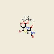 CC(C)(C)OC(=O)C1=C(CBr)[C@H](Br)S[C@H]2[C@H](NC=O)C(=O)N12